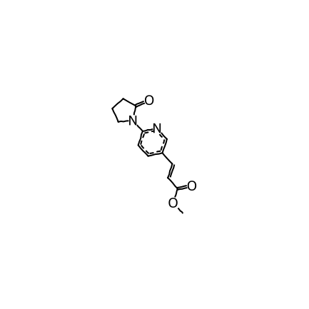 COC(=O)/C=C/c1ccc(N2CCCC2=O)nc1